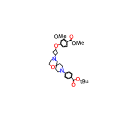 COC(=O)c1ccc(OC2CC(N3CCOC4(CCN(c5ccc(C(=O)OC(C)(C)C)cc5)CC4)C3)C2)cc1OC